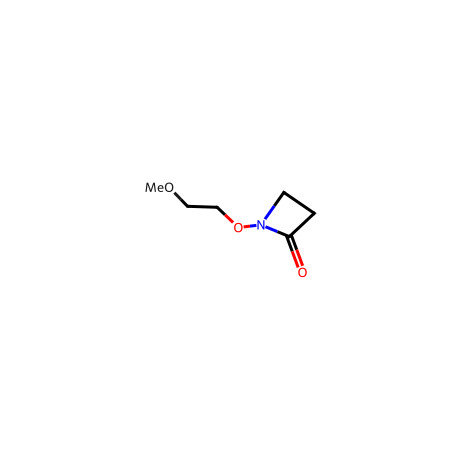 COCCON1CCC1=O